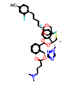 C[C@@H](S[C@H]1CO[C@H](/C=C/C=C/c2ccc(C#N)cc2F)OC1)[C@@](Cn1cncn1)(OC(=O)c1ccccc1COC(=O)CCCN(C)C)c1ccc(F)cc1F